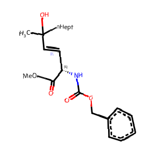 CCCCCCCC(C)(O)/C=C/[C@H](NC(=O)OCc1ccccc1)C(=O)OC